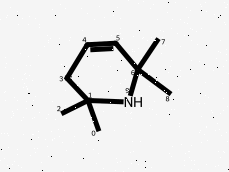 CC1(C)[C]C=CC(C)(C)N1